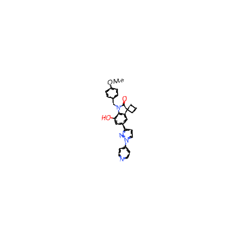 COc1ccc(CN2C(=O)C3(CCC3)c3cc(-c4ccn(-c5ccncc5)n4)cc(O)c32)cc1